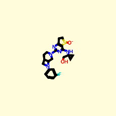 [O-][S+]1CCc2nc(N3CCC4CN(c5cccc(F)c5)C4C3)nc(NC3(CO)CC3)c21